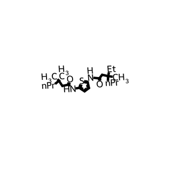 CCCC(C)(C)CC(=O)Nc1ccc(NC(=O)CC(C)(CC)CCC)s1